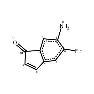 Nc1cc2c(cc1F)C=CC2=O